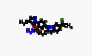 C=C(Cc1ccc(C(C)F)cc1)Nc1ccc(N2CC(C)C=N2)c(S(N)(=O)=O)c1